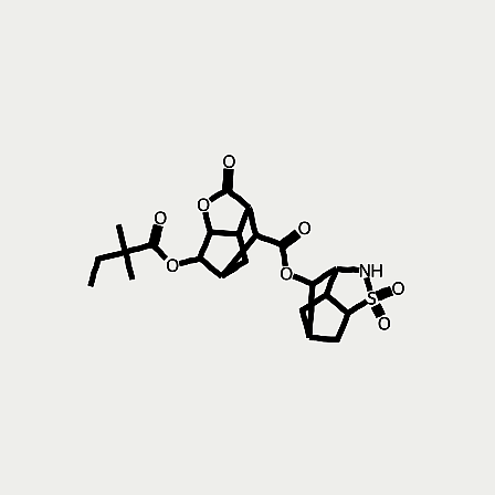 CCC(C)(C)C(=O)OC1C2CC3C1OC(=O)C3C2C(=O)OC1C2CC3C1NS(=O)(=O)C3C2